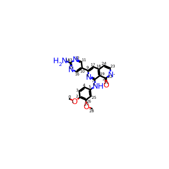 COc1ccc(Nc2nc(-c3cnc(N)nc3)cc3c2C(=O)[N]C=C3)cc1OC